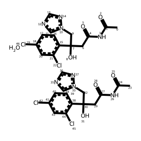 CC(=O)NC(=O)CC(O)(Cn1cncn1)c1ccc(Cl)cc1Cl.CC(=O)NC(=O)CC(O)(Cn1cncn1)c1ccc(Cl)cc1Cl.O